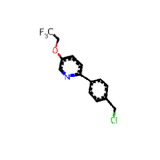 FC(F)(F)COc1ccc(-c2ccc(CCl)cc2)nc1